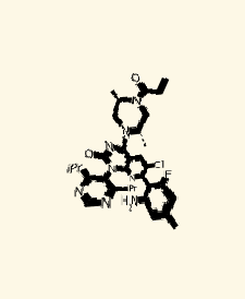 C=CC(=O)N1C[C@H](C)N(c2nc(=O)n(-c3c(C(C)C)ncnc3C(C)C)c3nc(-c4c(N)cc(C)cc4F)c(Cl)cc23)C[C@H]1C